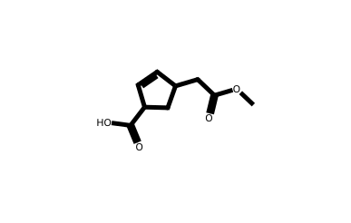 COC(=O)CC1C=CC(C(=O)O)C1